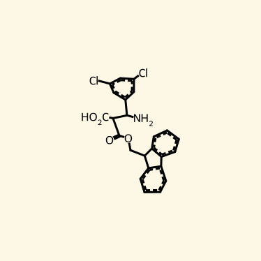 NC(c1cc(Cl)cc(Cl)c1)C(C(=O)O)C(=O)OCC1c2ccccc2-c2ccccc21